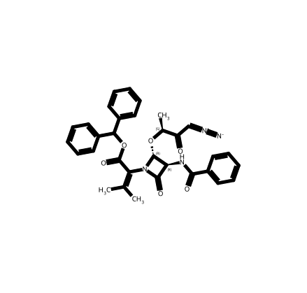 CC(C)=C(C(=O)OC(c1ccccc1)c1ccccc1)N1C(=O)[C@H](NC(=O)c2ccccc2)[C@H]1O[C@@H](C)C(=O)C=[N+]=[N-]